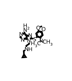 CN(C)c1cc2c(cc1Sc1nc3c(N)ncnc3n1CCNCC1CC1)OCO2